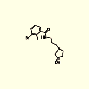 Cc1c(Br)cccc1C(=O)NCCCN1CC[C@@H](O)C1